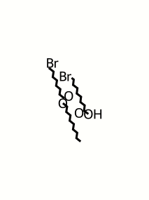 CCCCCCCCCOC(=O)CCCCCCCBr.O=C(O)CCCCCCCBr